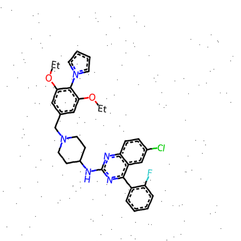 CCOc1cc(CN2CCC(Nc3nc(-c4ccccc4F)c4cc(Cl)ccc4n3)CC2)cc(OCC)c1-n1cccc1